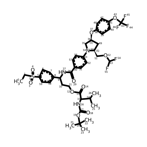 CCS(=O)(=O)c1ccc(C(CCOC(=O)C(NC(=O)OC(C)(C)C)C(C)C)NC(=O)c2ccc(N3C[C@@H](Oc4ccc(OC(F)(F)F)cc4)C[C@H]3COC(F)F)cc2)cc1